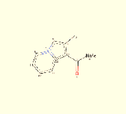 CNC(=O)c1c(C)cn2c[c]ccc12